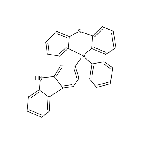 c1ccc([Si]2(c3ccc4c(c3)[nH]c3ccccc34)c3ccccc3Sc3ccccc32)cc1